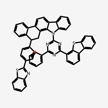 c1ccc(-c2nc(-c3cccc4c3sc3ccccc34)nc(-n3c4ccccc4c4ccc5c(c43)CC(c3ccc(-c4nc6ccccc6s4)cc3)c3ccccc3-5)n2)cc1